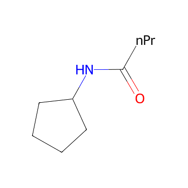 CCCC(=O)NC1CCCC1